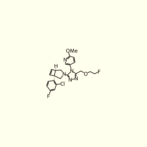 COc1ccc(-n2c(COCCF)nnc2N2C[C@@H]3C=C[C@]3(c3ccc(F)cc3Cl)C2)cn1